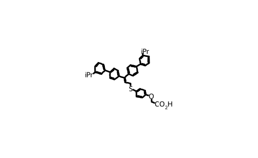 CC(C)c1cccc(-c2ccc(C(=CCSc3ccc(OCC(=O)O)cc3)c3ccc(-c4cccc(C(C)C)c4)cc3)cc2)c1